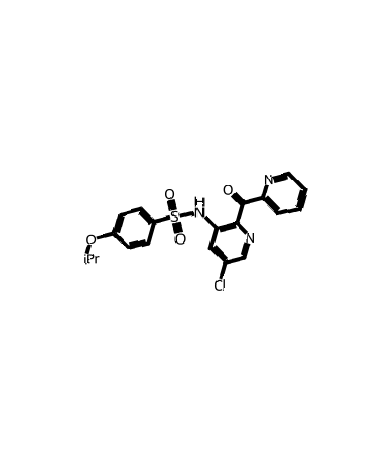 CC(C)Oc1ccc(S(=O)(=O)Nc2cc(Cl)cnc2C(=O)c2ccccn2)cc1